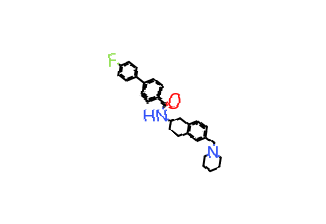 O=C(NC1CCc2cc(CN3CCCCC3)ccc2C1)c1ccc(-c2ccc(F)cc2)cc1